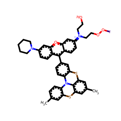 Cc1ccc2c(c1)Sc1cc(C)cc3c1N2c1ccc(-c2c4cc/c(=[N+](/CCO)CCOOI)cc-4oc4cc(N5CCCCC5)ccc24)cc1S3